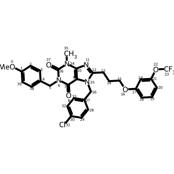 COc1ccc(Cn2c(=O)c3c(nc(CCCOc4cccc(OC(F)(F)F)c4)n3Cc3ccc(Cl)cc3)n(C)c2=O)cc1